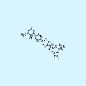 Cc1cccc(-c2cnc(C3CCN(S(=O)(=O)N4CC(C)OC(C(F)(F)F)C4)CC3)nc2)c1C